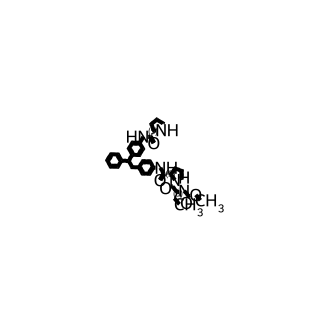 CC[C@H](NC(=O)OC)C(=O)N1CCC[C@H]1C(=O)Nc1ccc(CC(c2ccccc2)c2ccc(NC(=O)[C@@H]3CCCN3)cc2)cc1